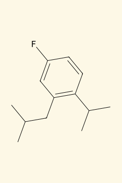 CC(C)Cc1cc(F)ccc1C(C)C